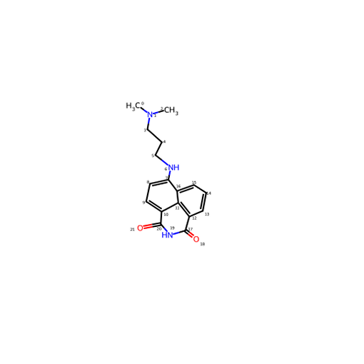 CN(C)CCCNc1ccc2c3c(cccc13)C(=O)NC2=O